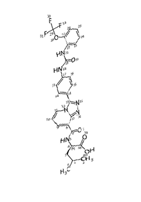 CC(C)C[C@@H](NC(=O)c1cccn2c(-c3ccc(NC(=O)Nc4ccccc4OC(F)(F)F)cc3)nnc12)C(=O)O